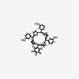 Oc1cccc(-c2c3nc(c(-c4cccc(O)c4)c4ccc([nH]4)c(-c4c(F)c(F)c(F)c(F)c4F)c4nc(c(-c5cccc(O)c5)c5ccc2[nH]5)C=C4)C=C3)c1